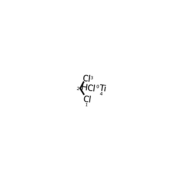 Cl.ClCCl.[Ti]